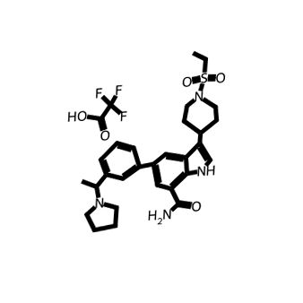 CCS(=O)(=O)N1CCC(c2c[nH]c3c(C(N)=O)cc(-c4cccc(C(C)N5CCCC5)c4)cc23)CC1.O=C(O)C(F)(F)F